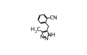 [CH2]c1nn[nH]c1Cc1ccccc1C#N